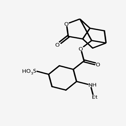 CCNC1CCC(S(=O)(=O)O)CC1C(=O)OC1C2CC3C(=O)OC1C3C2